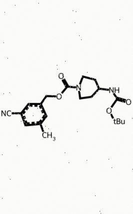 Cc1cc(C#N)cc(COC(=O)N2CCC(NC(=O)OC(C)(C)C)CC2)c1